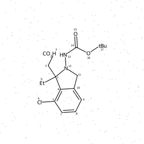 CCC1(CC(=O)O)c2c(Cl)cccc2CN1NC(=O)OC(C)(C)C